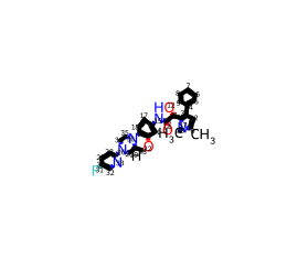 Cc1cc(-c2ccccc2)c(C(=O)C(=O)Nc2ccc3c(c2)OC[C@@H]2CN(c4ccc(F)cn4)CCN32)n1C